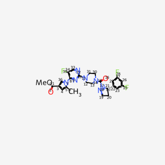 COC(=O)c1cc(C)n(-c2nc(N3CCN(C(=O)N4N=CC[C@H]4c4cc(F)cc(F)c4)CC3)ncc2F)c1